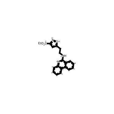 CCOC(=O)c1cc(CCNc2nc3ccccc3c3ccccc23)on1